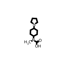 CN(C(=O)O)C1CCC(N2CCCC2)CC1